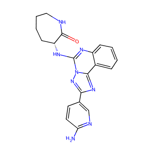 Nc1ccc(-c2nc3c4ccccc4nc(N[C@@H]4CCCCNC4=O)n3n2)cn1